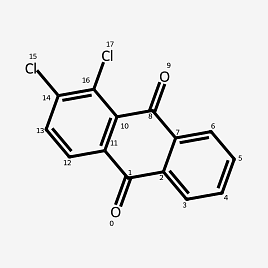 O=C1c2ccccc2C(=O)c2c1ccc(Cl)c2Cl